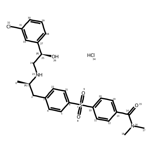 C[C@H](Cc1ccc(S(=O)(=O)c2ccc(C(=O)N(C)C)cc2)cc1)NC[C@H](O)c1cccc(Cl)c1.Cl